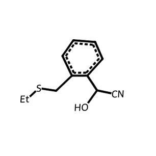 CCSCc1ccccc1C(O)C#N